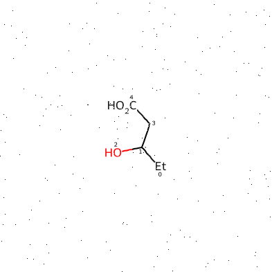 CC[C](O)CC(=O)O